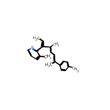 C/C=C(/C(C)=C/C=C(\C)c1ccc(C)cc1)c1ncccc1C